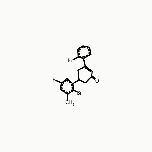 Cc1cc(F)cc(C2CC(=O)C=C(c3ccccc3Br)C2)c1Br